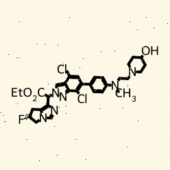 CCOC(=O)C(c1ncn2c1C[C@@H](F)C2)n1cc2c(Cl)cc(-c3ccc(N(C)CCN4CCC(O)CC4)cc3)c(Cl)c2n1